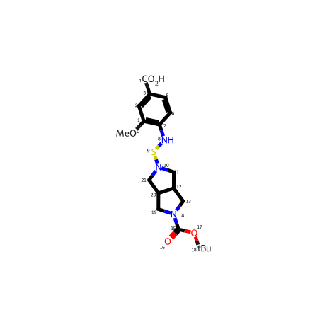 COc1cc(C(=O)O)ccc1NSN1CC2CN(C(=O)OC(C)(C)C)CC2C1